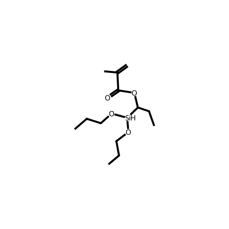 C=C(C)C(=O)OC(CC)[SiH](OCCC)OCCC